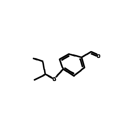 CCC(C)Oc1ccc(C=O)cc1